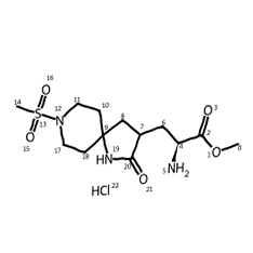 COC(=O)[C@@H](N)CC1CC2(CCN(S(C)(=O)=O)CC2)NC1=O.Cl